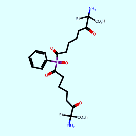 CCC(N)(C(=O)O)C(=O)CCCCC(=O)P(=O)(C(=O)CCCCC(=O)C(N)(CC)C(=O)O)c1ccccc1